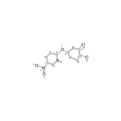 O=[N+]([O-])c1ccc(Oc2ccc(Cl)c(Cl)c2)nc1